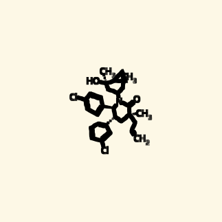 C=CC[C@@]1(C)C[C@H](c2cccc(Cl)c2)[C@@H](c2ccc(Cl)cc2)N(C(CC)C[C@@](C)(O)C2CC2)C1=O